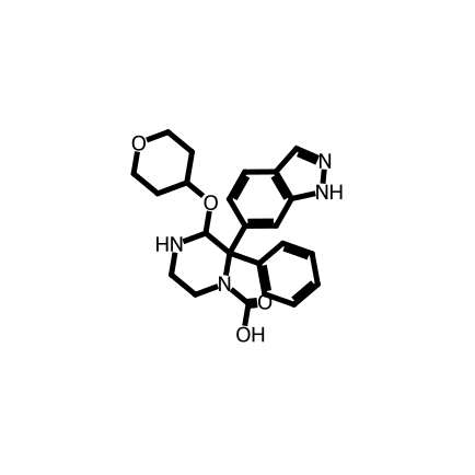 O=C(O)N1CCNC(OC2CCOCC2)C1(c1ccccc1)c1ccc2cn[nH]c2c1